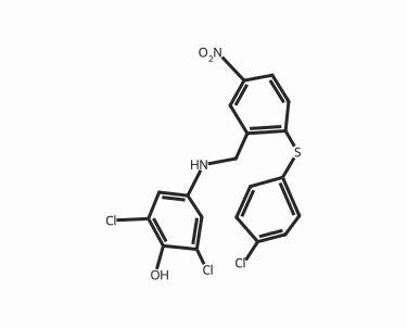 O=[N+]([O-])c1ccc(Sc2ccc(Cl)cc2)c(CNc2cc(Cl)c(O)c(Cl)c2)c1